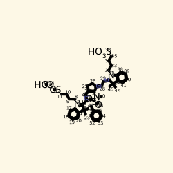 CN(C1=C(/C=C/C2=[N+](CCCCSOOO)c3ccccc3C2(C)C)CC/C1=C\C=C1\N(CCCCS(=O)(=O)O)c2ccccc2C1(C)C)S(=O)(=O)Cc1ccccc1